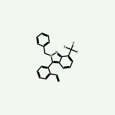 C=Cc1ccccc1-c1c2cccc(C(F)(F)F)c2nn1Cc1ccccc1